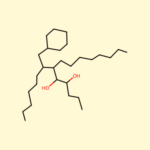 CCCCCCCCC(C(CCCCCC)CC1CCCCC1)C(O)C(O)CCC